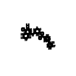 O=C(Oc1cccc(Cc2n[nH]c(=O)c3ccccc23)c1)c1csc(-c2cccs2)n1